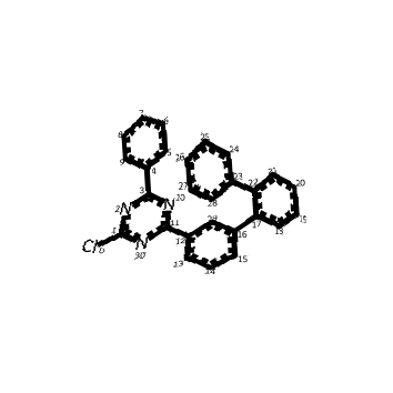 Clc1nc(-c2ccccc2)nc(-c2cccc(-c3ccccc3-c3ccccc3)c2)n1